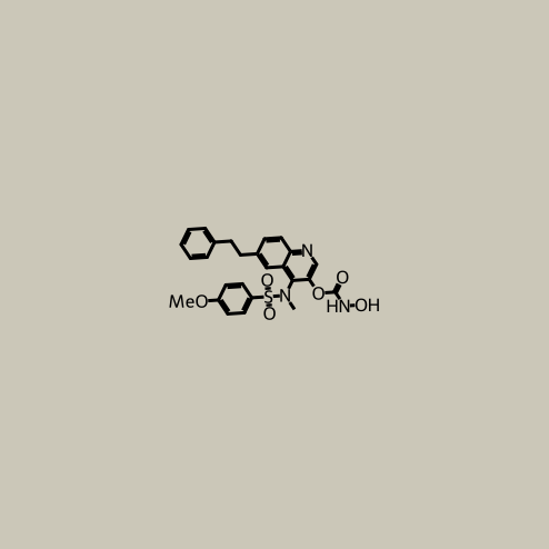 COc1ccc(S(=O)(=O)N(C)c2c(OC(=O)NO)cnc3ccc(CCc4ccccc4)cc23)cc1